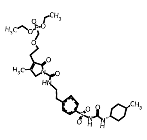 CCOP(=O)(COCCC1=C(C)CN(C(=O)NCCc2ccc(S(=O)(=O)NC(=O)N[C@H]3CC[C@H](C)CC3)cc2)C1=O)OCC